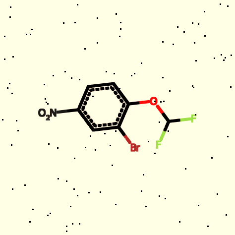 O=[N+]([O-])c1ccc(OC(F)F)c(Br)c1